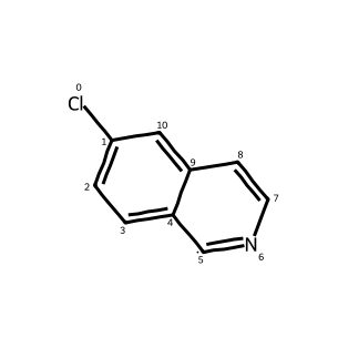 Clc1ccc2[c]nccc2c1